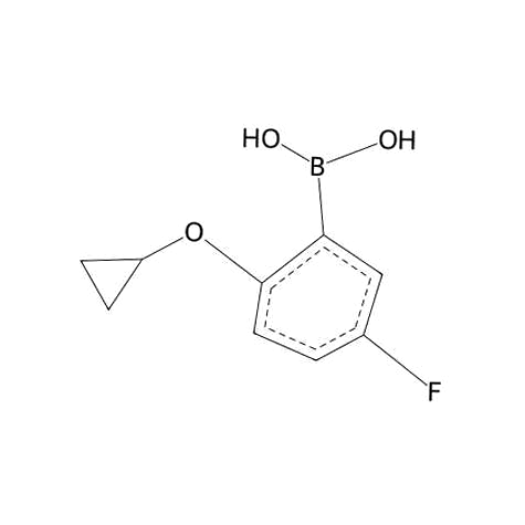 OB(O)c1cc(F)ccc1OC1CC1